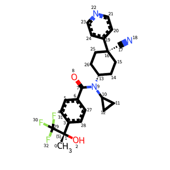 C[C@](O)(c1ccc(C(=O)N(C2CC2)[C@H]2CC[C@](C#N)(c3ccncc3)CC2)cc1)C(F)(F)F